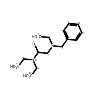 CCC(CN(CC(=O)O)Cc1ccccc1)N(CC(=O)O)CC(=O)O